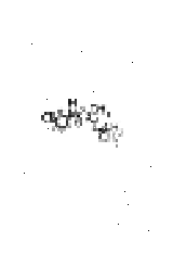 CC(C)=CCCC(C)CC(=O)Nc1cccc(Cl)c1